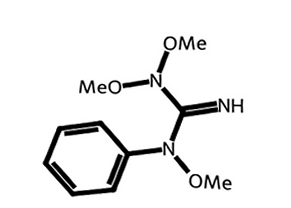 CON(OC)C(=N)N(OC)c1ccccc1